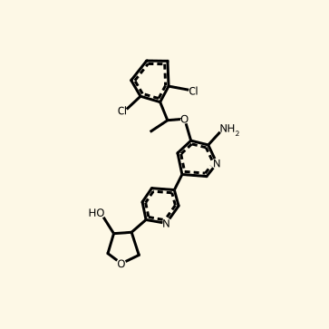 CC(Oc1cc(-c2ccc(C3COCC3O)nc2)cnc1N)c1c(Cl)cccc1Cl